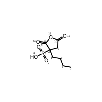 CCCCC1(S(=O)(=O)O)CC(=O)OC1=O